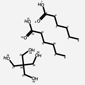 CCCCCC(=O)O.CCCCCC(=O)O.OCC(CO)(CO)CO